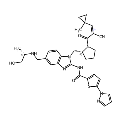 C[C@@H](CO)NCc1ccc2c(c1)nc(NC(=O)c1ccc(-n3cccn3)s1)n2C[C@H]1CCCN1C(=O)/C(C#N)=C\C1(C)CC1